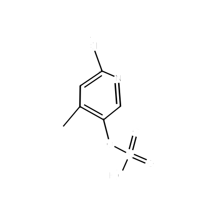 Cc1cc(Cl)ncc1OS(=O)(=O)C(F)(F)F